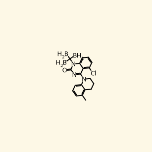 BC(B)(B)n1c(=O)nc(N2CCCc3c(C)cccc32)c2c(Cl)cccc21